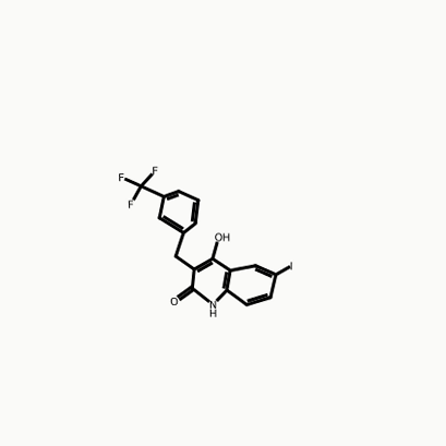 O=c1[nH]c2ccc(I)cc2c(O)c1Cc1cccc(C(F)(F)F)c1